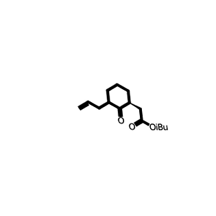 C=CCC1CCC[C@@H](CC(=O)OCC(C)C)C1=O